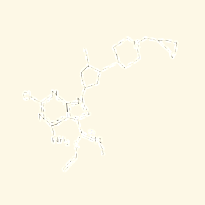 C=CS/C(=N\C)c1cn(C2CC(C)C(C3CCN(CC4CC4)CC3)C2)c2nc(Cl)nc(N)c12